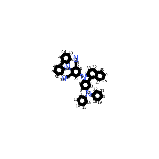 N#Cc1cc(-n2c3ccc(N(c4ccccc4)c4ccccc4)cc3c3c4ccccc4ccc32)cc(C#N)c1-n1c2ccccc2c2ccccc21